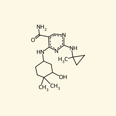 CC1(Nc2ncc(C(N)=O)c(NC3CCC(C)(C)C(O)C3)n2)CC1